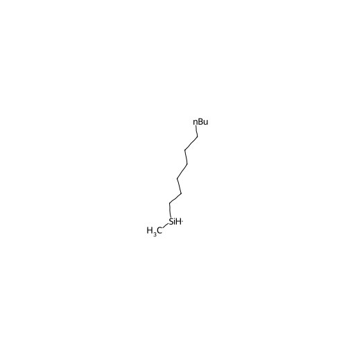 CCCCCCCCCC[SiH]C